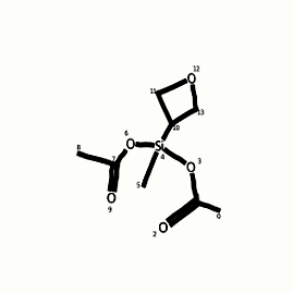 CC(=O)O[Si](C)(OC(C)=O)C1COC1